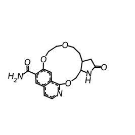 NC(=O)c1cc2ccnc3c2cc1OCCOCCC1CC(=O)NC1CO3